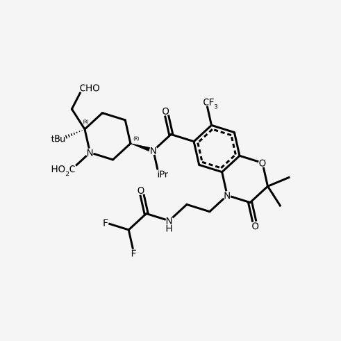 CC(C)N(C(=O)c1cc2c(cc1C(F)(F)F)OC(C)(C)C(=O)N2CCNC(=O)C(F)F)[C@@H]1CC[C@@](CC=O)(C(C)(C)C)N(C(=O)O)C1